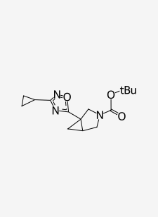 CC(C)(C)OC(=O)N1CC2CC2(c2nc(C3CC3)no2)C1